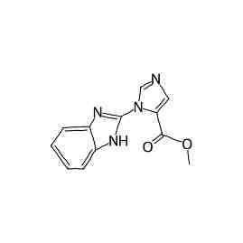 COC(=O)c1cncn1-c1nc2ccccc2[nH]1